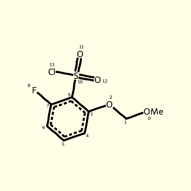 COCOc1cccc(F)c1S(=O)(=O)Cl